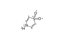 [2H]N1C=CS(=O)(=O)C=C1